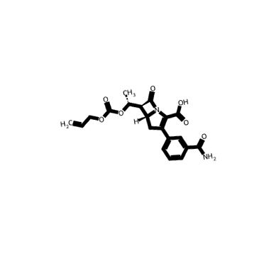 C=CCOC(=O)O[C@H](C)[C@H]1C(=O)N2C(C(=O)O)=C(c3cccc(C(N)=O)c3)C[C@H]12